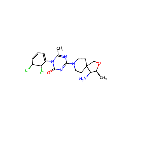 Cc1nc(N2CCC3(CC2)CO[C@@H](C)[C@H]3N)nc(=O)n1C1=CC=C[C@H](Cl)C1Cl